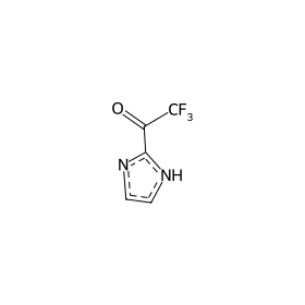 O=C(c1ncc[nH]1)C(F)(F)F